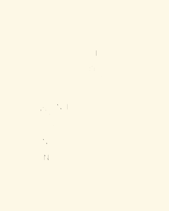 O=C(NCc1ccc(OCc2ccccc2F)cc1)c1ccc2cncn2c1